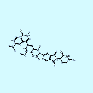 C=C1c2cc3c(cc2C(=O)N1C1CCC(=O)NC1=O)CN(Cc1c(OC)cc(-c2cn(C)c(=O)c4cnc(N(C)C)cc24)cc1OC)C3